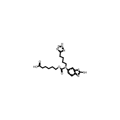 O=C(O)CCCCCOC(=O)N(CCCCc1nn[nH]n1)c1ccc2nc(S)sc2c1